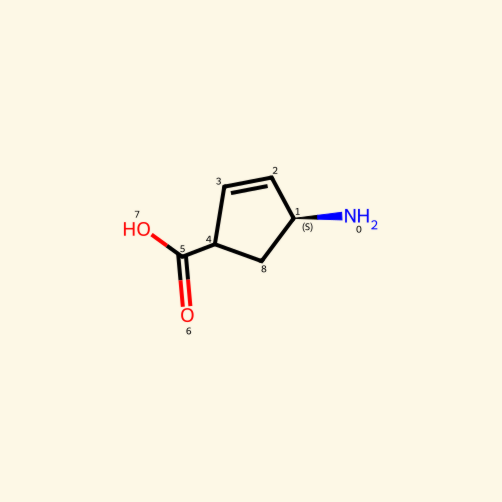 N[C@@H]1C=CC(C(=O)O)C1